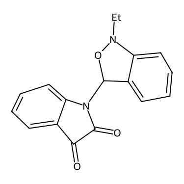 CCN1OC(N2C(=O)C(=O)c3ccccc32)c2ccccc21